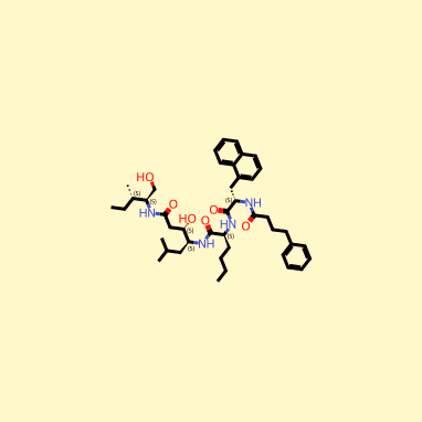 CCCC[C@H](NC(=O)[C@H](Cc1cccc2ccccc12)NC(=O)CCCc1ccccc1)C(=O)N[C@@H](CC(C)C)[C@@H](O)CC(=O)N[C@H](CO)[C@@H](C)CC